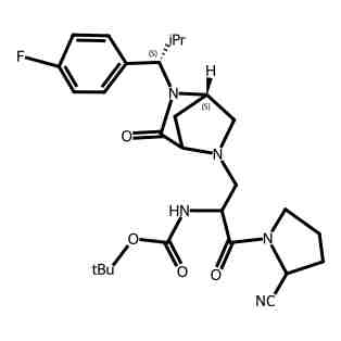 CC(C)[C@@H](c1ccc(F)cc1)N1C(=O)C2C[C@H]1CN2CC(NC(=O)OC(C)(C)C)C(=O)N1CCCC1C#N